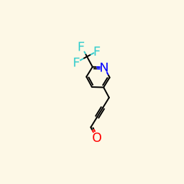 O=CC#CCc1ccc(C(F)(F)F)nc1